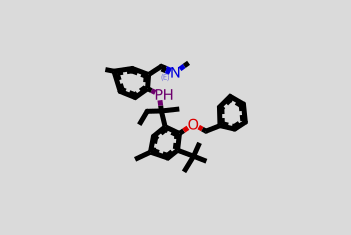 CCC(C)(Pc1ccc(C)cc1/C=N/C)c1cc(C)cc(C(C)(C)C)c1OCc1ccccc1